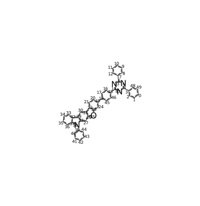 c1ccc(-c2nc(-c3ccccc3)nc(-c3ccc(-c4ccc5c(c4)oc4cc6c(cc45)c4ccccc4n6-c4ccccc4)cc3)n2)cc1